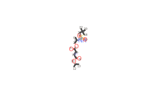 CC(COC(=O)/C=C/C(=O)OC(C)C)NS(=O)(=O)CC(C)(C)C